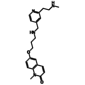 CNCCc1cc(CNCCCOc2ccc3c(ccc(=O)n3C)c2)ccn1